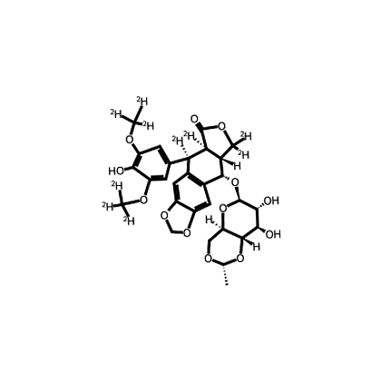 [2H]C([2H])([2H])Oc1cc([C@]2([2H])c3cc4c(cc3[C@@H](O[C@@H]3O[C@@H]5CO[C@@H](C)O[C@H]5[C@H](O)[C@H]3O)[C@H]3C([2H])([2H])OC(=O)[C@@]32[2H])OCO4)cc(OC([2H])([2H])[2H])c1O